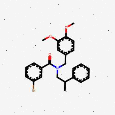 COc1ccc(CN(CC(C)c2ccccc2)C(=O)c2cccc(Br)c2)cc1OC